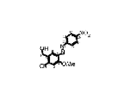 COc1cc(Cl)c(CO)cc1/N=N/c1ccc([N+](=O)[O-])cc1